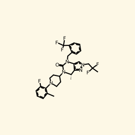 Cc1cccc(F)c1N1CCC(N2C(=O)N(Cc3ccccc3C(F)(F)F)c3cn(CC(C)(F)F)nc3[C@@H]2C)CC1